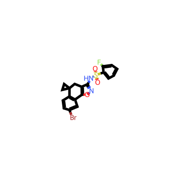 O=S(=O)(Nc1noc2c1CC1(CC1)c1ccc(Br)cc1-2)c1ccccc1F